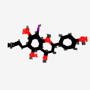 C=CCc1c(O)c(I)c2c(c1O)C(=O)CC(c1ccc(O)cc1)O2